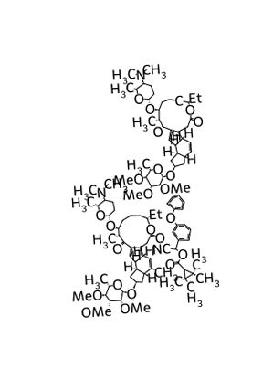 CC1(C)C(C(=O)OC(C#N)c2cccc(Oc3ccccc3)c2)C1(C)C.CC[C@H]1CCC[C@H](O[C@H]2CC[C@H](N(C)C)[C@@H](C)O2)[C@@H](C)C(=O)C2=C[C@@H]3[C@@H](C=C(C)[C@@H]4C[C@@H](O[C@@H]5O[C@@H](C)[C@H](OC)[C@@H](OC)[C@H]5OC)C[C@@H]34)[C@@H]2CC(=O)O1.CC[C@H]1CCC[C@H](O[C@H]2CC[C@H](N(C)C)[C@@H](C)O2)[C@@H](C)C(=O)C2=C[C@@H]3[C@@H](C=C[C@@H]4C[C@@H](O[C@@H]5O[C@@H](C)[C@H](OC)[C@@H](OC)[C@H]5OC)C[C@@H]34)[C@@H]2CC(=O)O1